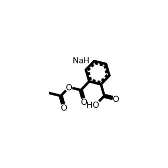 CC(=O)OC(=O)c1ccccc1C(=O)O.[NaH]